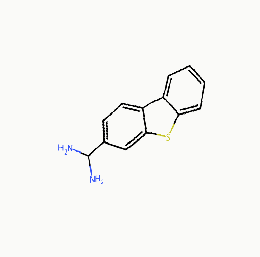 NC(N)c1ccc2c(c1)sc1ccccc12